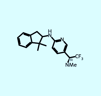 CN[C@@H](c1ccc(NC2Cc3ccccc3C2(C)C)nc1)C(F)(F)F